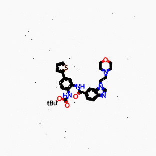 CC(C)(C)OC(=O)Nc1ccc(-c2cccs2)cc1NC(=O)c1ccc2ncn(CCN3CCOCC3)c2c1